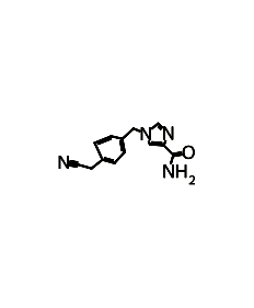 N#CCc1ccc(Cn2cnc(C(N)=O)c2)cc1